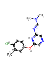 CN(C)/C=N/c1cncc(Oc2ccc(Cl)c(C(F)(F)F)c2)n1